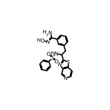 NC(=NO)c1cccc(CC(NS(=O)(=O)c2ccccc2)c2nc3cnccc3s2)c1